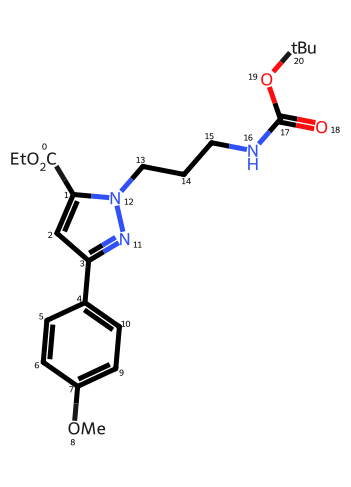 CCOC(=O)c1cc(-c2ccc(OC)cc2)nn1CCCNC(=O)OC(C)(C)C